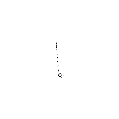 [CH2]c1cc(OC)c(OCCOCCOCCOCCOCCOCCCCCCCl)cc1[N+](=O)[O-]